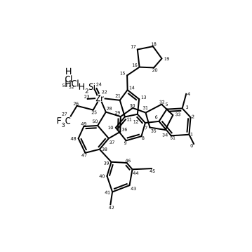 Cc1cc(C)cc(-c2cccc3c2C=C(CC2CCCC2)[CH]3[Zr]([CH3])(=[SiH2])([CH2]CC(F)(F)F)[CH]2C(CC3CCCC3)=Cc3c(-c4cc(C)cc(C)c4)cccc32)c1.Cl.Cl